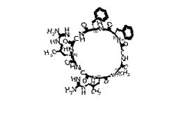 CC(CNC(=N)N)C[C@H]1NC(=O)CNC(=O)[C@H](Cc2ccccc2)NC(=O)[C@@H](Cc2ccccc2)NC(=O)CNC(=O)[C@H](C)NC(=O)[C@@H](CC(C)CNC(=N)N)NC(=O)CNC1=O